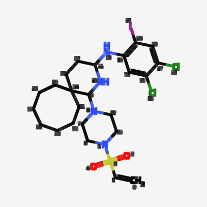 C=CS(=O)(=O)N1CCN(C2NC(Nc3cc(Cl)c(Cl)cc3I)CCC23CCCCCCC3)CC1